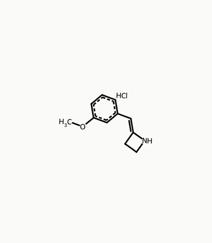 COc1cccc(C=C2CCN2)c1.Cl